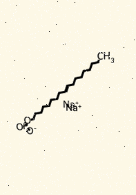 CCCCCCCCC=CCCCCCCCCOP([O-])[O-].[Na+].[Na+]